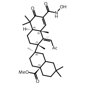 COC(=O)[C@]12CCC(C)(C)CC1C[C@](C)([C@]1(C)CC[C@H]3C(C)(C)C(=O)C(C(=O)NO)=C[C@]3(C)/C1=C/C(C)=O)CC2